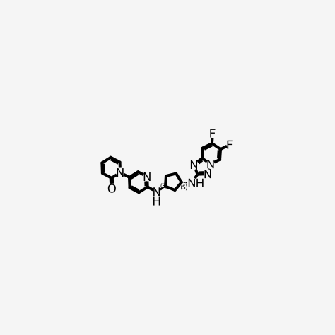 O=c1ccccn1-c1ccc(N[C@H]2CC[C@H](Nc3nc4cc(F)c(F)cn4n3)C2)nc1